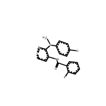 CN(c1ccc(Cl)cc1)c1ncccc1NC(=O)c1ccccc1F